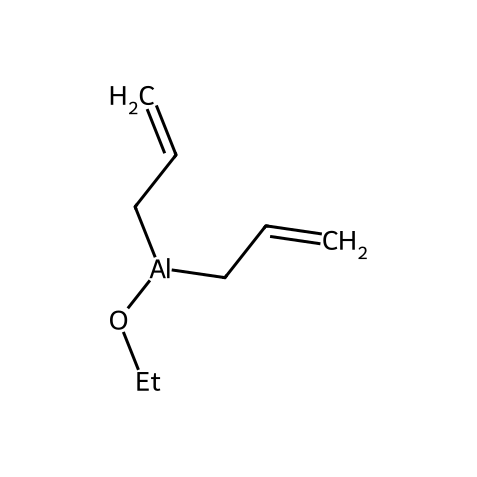 C=C[CH2][Al]([CH2]C=C)[O]CC